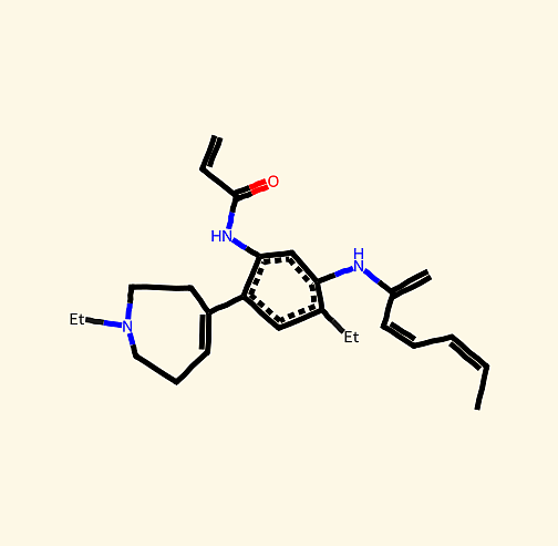 C=CC(=O)Nc1cc(NC(=C)/C=C\C=C/C)c(CC)cc1C1=CCCN(CC)CC1